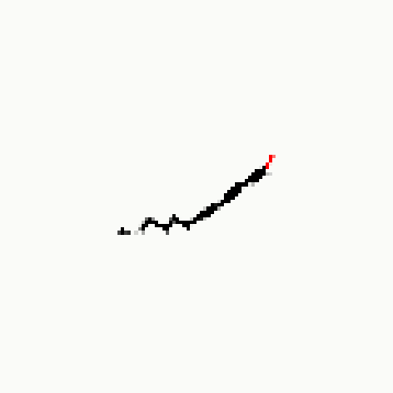 CCCCCCCCCCCC#CC#CC#C[O]